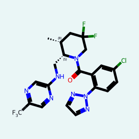 C[C@@H]1CC(F)(F)CN(C(=O)c2cc(Cl)ccc2-n2nccn2)[C@@H]1CNc1cnc(C(F)(F)F)cn1